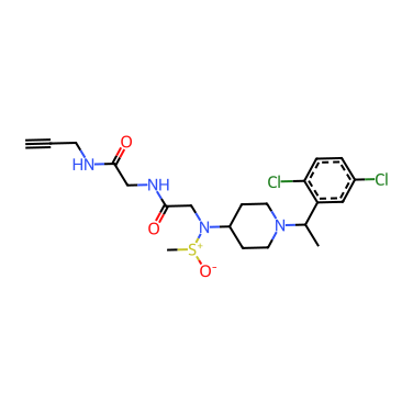 C#CCNC(=O)CNC(=O)CN(C1CCN(C(C)c2cc(Cl)ccc2Cl)CC1)[S+](C)[O-]